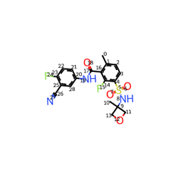 Cc1ccc(S(=O)(=O)NC2(C)COC2)c(F)c1C(=O)Nc1ccc(F)c(C#N)c1